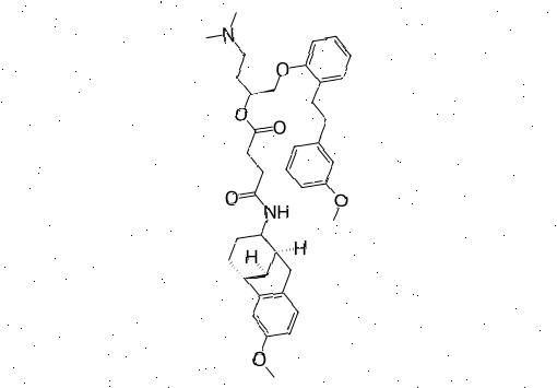 COc1cccc(CCc2ccccc2OC[C@H](CCN(C)C)OC(=O)CCC(=O)NC2CC[C@@]34CCCC[C@@H]3[C@@H]2Cc2ccc(OC)cc24)c1